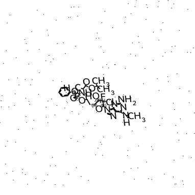 CNc1nc(N)nc2c1ncn2[C@@H]1O[C@H](CCO[P@](=O)(NC(C)C(=O)OC(C)C)Oc2ccccc2)[C@@H](O)[C@]1(F)Cl